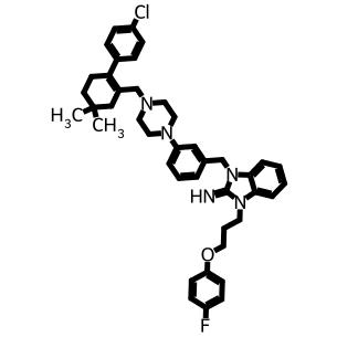 CC1(C)CCC(c2ccc(Cl)cc2)=C(CN2CCN(c3cccc(Cn4c(=N)n(CCCOc5ccc(F)cc5)c5ccccc54)c3)CC2)C1